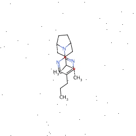 CCCc1cnc(N2C3CCC2CC(C(C)CC)C3)nc1